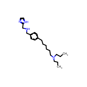 CCCN(CCC)CCCC[CH]Cc1ccc(CNCc2ncc[nH]2)cc1